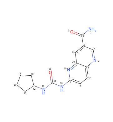 NC(=O)c1cnc2ccc(NC(=O)NC3CCCC3)nc2c1